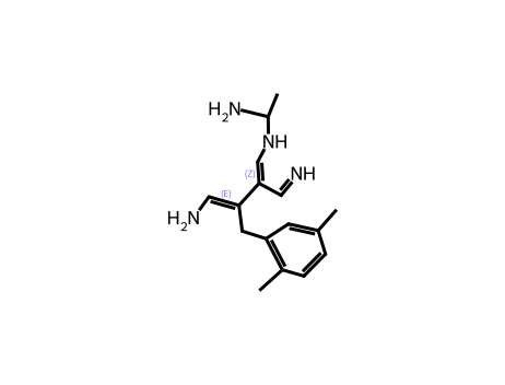 Cc1ccc(C)c(CC(=C\N)/C(C=N)=C/NC(C)N)c1